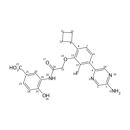 Nc1cnc(-c2ccc(C3CCC3)c(OCC(=O)Nc3cc(C(=O)O)ccc3O)c2F)cn1